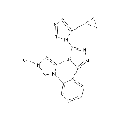 ClN1C=C2N(C1)c1ccccc1-c1nnc(-n3nncc3C3CC3)n12